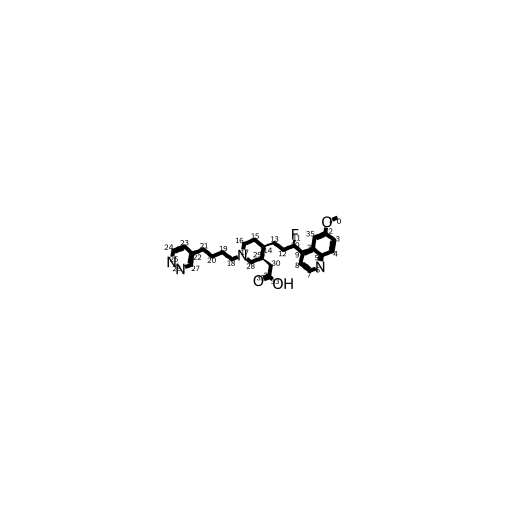 COc1ccc2nccc([C@H](F)CC[C@@H]3CCN(CCCCc4ccnnc4)C[C@@H]3CC(=O)O)c2c1